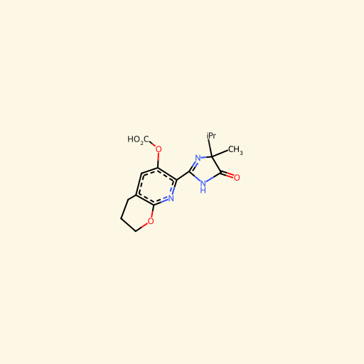 CC(C)C1(C)N=C(c2nc3c(cc2OC(=O)O)CCCO3)NC1=O